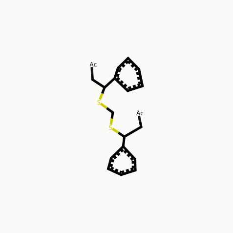 CC(=O)CC(SCSC(CC(C)=O)c1ccccc1)c1ccccc1